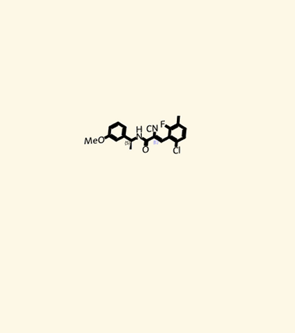 COc1cccc([C@H](C)NC(=O)/C(C#N)=C/c2c(Cl)ccc(C)c2F)c1